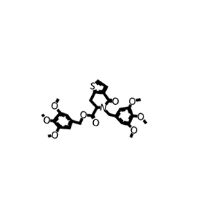 COc1cc(COC(=O)C2Cc3sccc3C(=O)N2Cc2cc(OC)c(OC)c(OC)c2)cc(OC)c1OC